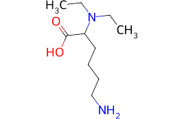 CCN(CC)C(CCCCN)C(=O)O